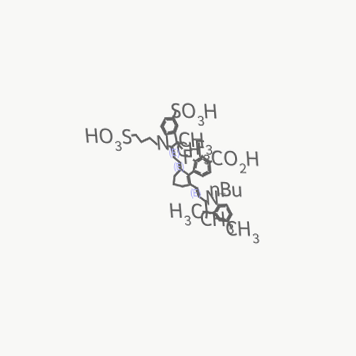 CCCC[N+]1=C(/C=C/C2=C(c3ccc(C(=O)O)c(F)c3F)C(=C/C=C3/N(CCCCS(=O)(=O)O)c4ccc(S(=O)(=O)O)cc4C3(C)C)/CCC2)C(C)(C)c2cc(C)ccc21